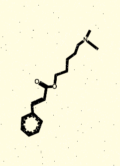 CN(C)CCCCCOC(=O)C=Cc1ccccc1